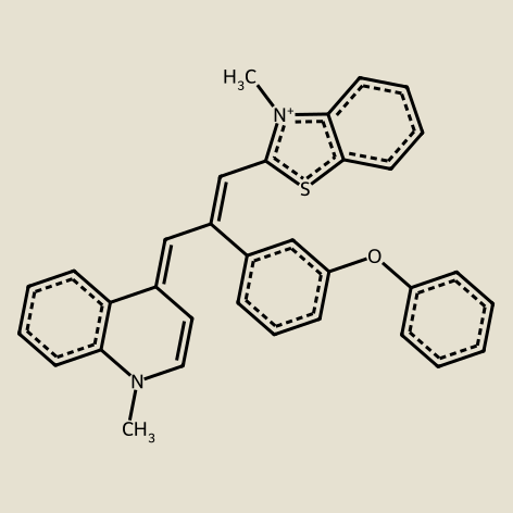 CN1C=C/C(=C\C(=C\c2sc3ccccc3[n+]2C)c2cccc(Oc3ccccc3)c2)c2ccccc21